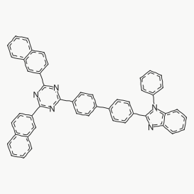 c1ccc(-n2c(-c3ccc(-c4ccc(-c5nc(-c6ccc7ccccc7c6)nc(-c6ccc7ccccc7c6)n5)cc4)cc3)nc3ccccc32)cc1